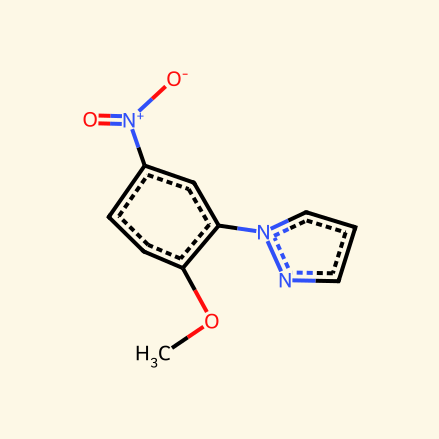 COc1ccc([N+](=O)[O-])cc1-n1cccn1